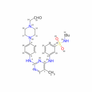 Cc1cnc(Nc2ccc(N3CCN(CC=O)CC3)cc2)nc1Nc1cccc(S(=O)(=O)NC(C)(C)C)c1